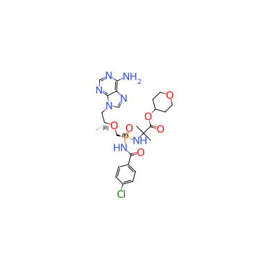 C[C@H](Cn1cnc2c(N)ncnc21)OC[P@](=O)(NC(=O)c1ccc(Cl)cc1)NC(C)(C)C(=O)OC1CCOCC1